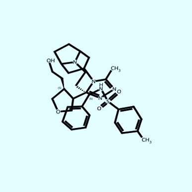 Cc1ccc(S(=O)(=O)N[C@@H](CCN2C3CCC2CC(n2c(C)nnc2C2COC[C@H]2CCO)C3)c2ccccc2)cc1